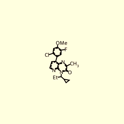 CCC(C1CC1)n1c(=O)c(C)nc2c(-c3cc(F)c(OC)cc3Cl)ccnc21